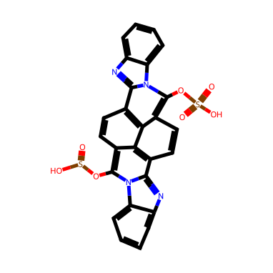 O=S(O)Oc1c2ccc3c4c(ccc(c24)c2nc4ccccc4n12)c(OS(=O)(=O)O)n1c2ccccc2nc31